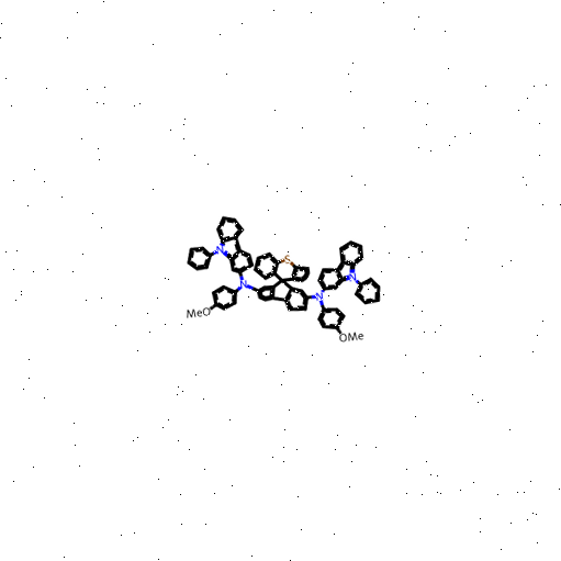 COc1ccc(N(c2ccc3c(c2)C2(c4ccccc4Sc4ccccc42)c2cc(N(c4ccc(OC)cc4)c4ccc5c6ccccc6n(-c6ccccc6)c5c4)ccc2-3)c2ccc3c4ccccc4n(-c4ccccc4)c3c2)cc1